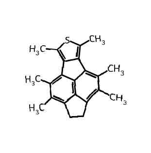 Cc1sc(C)c2c1-c1c(C)c(C)c3c4c(c(C)c(C)c-2c14)CC3